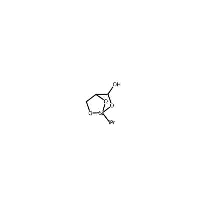 CC(C)[Si]12OCC(O1)C(O)O2